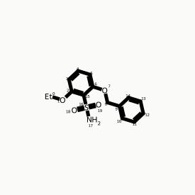 CCOc1cccc(OCc2ccccc2)c1S(N)(=O)=O